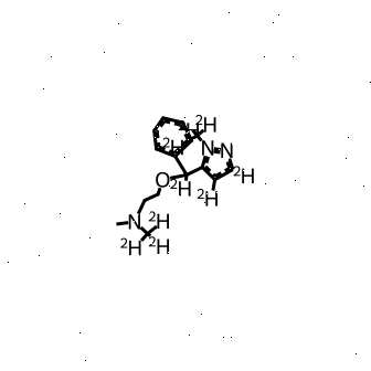 [2H]c1nn(C([2H])([2H])[2H])c(C([2H])(OCCN(C)C([2H])([2H])[2H])c2ccccc2)c1[2H]